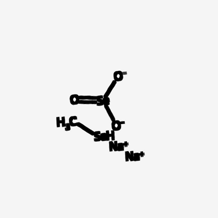 C[SeH].O=[Se]([O-])[O-].[Na+].[Na+]